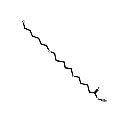 CC(C)(C)OC(=O)CCCCOCCCCCOCCCCCCCl